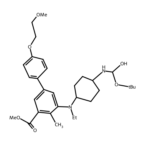 CCN(c1cc(-c2ccc(OCCOC)cc2)cc(C(=O)OC)c1C)C1CCC(NC(O)OC(C)(C)C)CC1